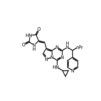 CCCC(Nc1nc(NC2CC2)n2ncc(/C=C3\NC(=O)NC3=O)c2n1)c1ccncc1